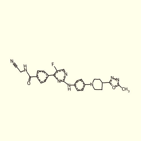 Cc1nnc(C2CCN(c3ccc(Nc4ncc(F)c(-c5ccc(C(=O)NCC#N)cc5)n4)cc3)CC2)o1